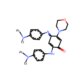 CCN(c1ccc(/N=C2\C=C(Nc3ccc(N(CC)C(C)C)cc3)C(=O)C=C2N2CCOCC2)cc1)C(C)C